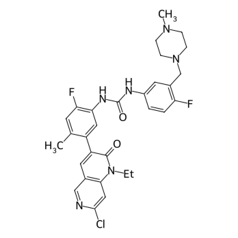 CCn1c(=O)c(-c2cc(NC(=O)Nc3ccc(F)c(CN4CCN(C)CC4)c3)c(F)cc2C)cc2cnc(Cl)cc21